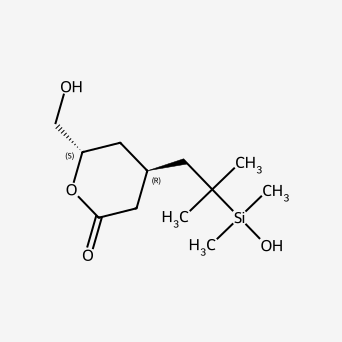 CC(C)(C[C@H]1CC(=O)O[C@H](CO)C1)[Si](C)(C)O